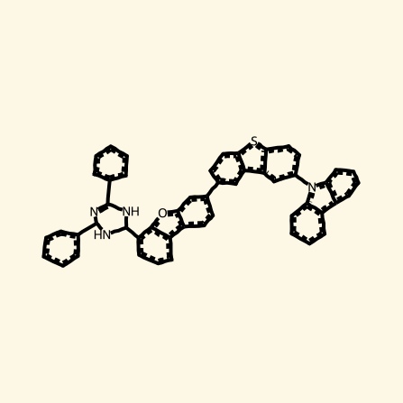 c1ccc(C2=NC(c3ccccc3)NC(c3cccc4c3oc3cc(-c5ccc6sc7ccc(-n8c9ccccc9c9ccccc98)cc7c6c5)ccc34)N2)cc1